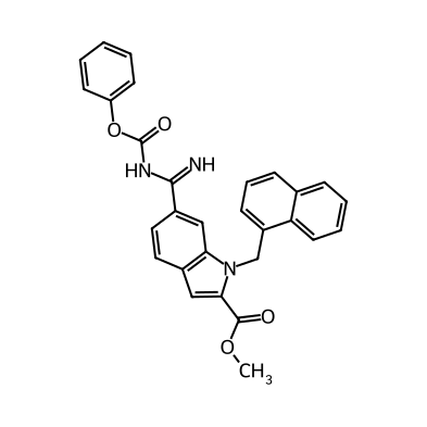 COC(=O)c1cc2ccc(C(=N)NC(=O)Oc3ccccc3)cc2n1Cc1cccc2ccccc12